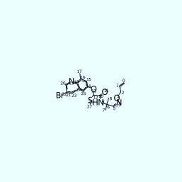 C=CCO/N=C\C(C)(C)NC(=O)C(Oc1cc(C)c2ncc(Br)cc2c1)SC